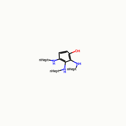 CCCCCCCNc1ccc(O)c(NCCCCCCC)c1NCCCCCCC